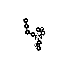 c1ccc(-c2ccc(-c3cccc(-c4ccc(-c5nc(-c6ccc7c(c6)oc6ccccc67)nc(-c6cccc7oc8ccccc8c67)n5)cc4)c3)cc2)cc1